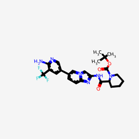 CC(C)(C)OC(=O)N1CCCCC1C(=O)Nc1cn2cc(-c3cnc(N)c(C(F)(F)F)c3)ccc2n1